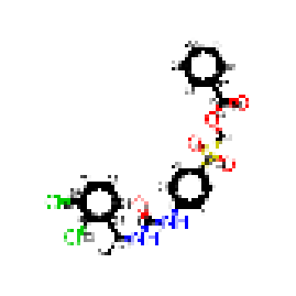 C[C@H](NC(=O)Nc1ccc(S(=O)(=O)COC(=O)c2ccccc2)cc1)c1cccc(Cl)c1Cl